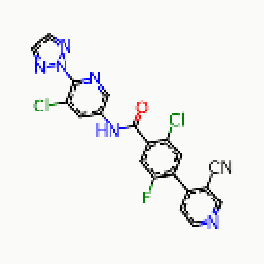 N#Cc1cnccc1-c1cc(Cl)c(C(=O)Nc2cnc(-n3nccn3)c(Cl)c2)cc1F